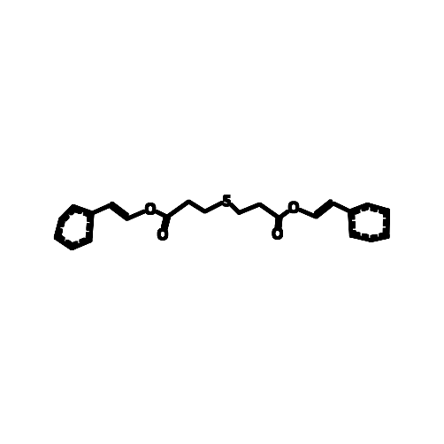 O=C(CCSCCC(=O)OC=Cc1ccccc1)OC=Cc1ccccc1